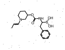 CC=CN1CCCC(OC(=O)NC(Cc2ccccc2)B(O)O)C1